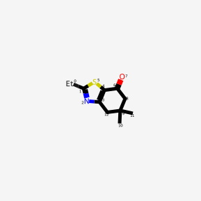 CCc1nc2c(s1)C(=O)CC(C)(C)C2